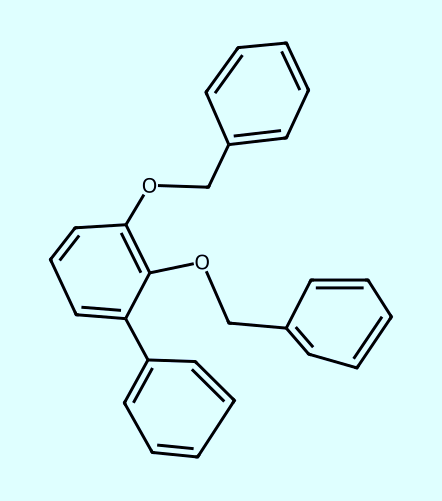 c1ccc(COc2cccc(-c3ccccc3)c2OCc2ccccc2)cc1